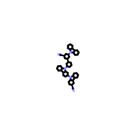 N#Cc1cc(-c2cccc(-n3c4ccccc4c4ccc(-n5c6ccccc6c6cc(C#N)ccc65)cc43)c2)cc(-n2c3ccccc3c3ccccc32)c1